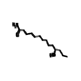 CCCC(O)CCCCCCCCCC(N)=O